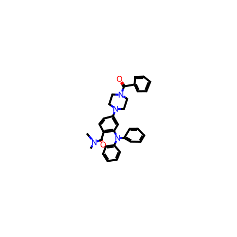 CN(C)C(=O)c1ccc(N2CCN(C(=O)c3ccccc3)CC2)cc1N(c1ccccc1)c1ccccc1